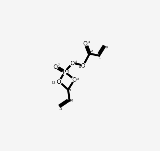 C=CC(=O)OOP1(=O)OC(C=C)O1